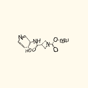 CC(C)(C)OC(=O)N1CC(C(=O)Nc2cnccc2O)C1